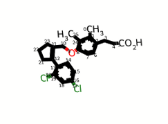 Cc1c(CCC(=O)O)ccc(OCC2=C(c3ccc(Cl)cc3Cl)CCC2)c1C